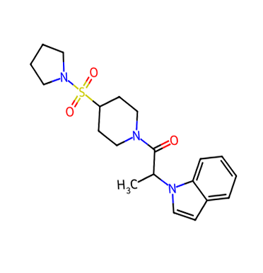 CC(C(=O)N1CCC(S(=O)(=O)N2CCCC2)CC1)n1ccc2ccccc21